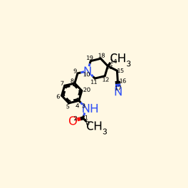 CC(=O)Nc1cccc(CN2CCC(C)(CC#N)CC2)c1